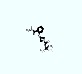 CC(C)(C)OC(=O)N1CC(Oc2ccccc2C(=O)NN)C1